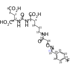 O=C(O)CCC(NC(=O)NC(CCCCNC(=O)CO/N=C/c1ccc(F)cc1)C(=O)O)C(=O)O